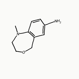 CN1CCOCc2cc(N)ccc21